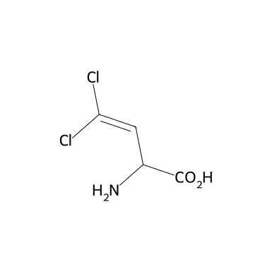 NC(C=C(Cl)Cl)C(=O)O